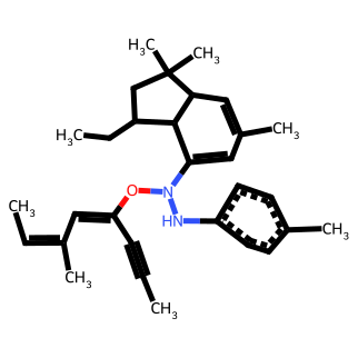 CC#C/C(=C\C(C)=C/C)ON(Nc1ccc(C)cc1)C1=CC(C)=CC2C1C(CC)CC2(C)C